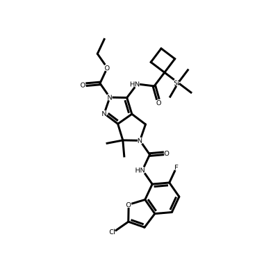 CCOC(=O)n1nc2c(c1NC(=O)C1([Si](C)(C)C)CCC1)CN(C(=O)Nc1c(F)ccc3cc(Cl)oc13)C2(C)C